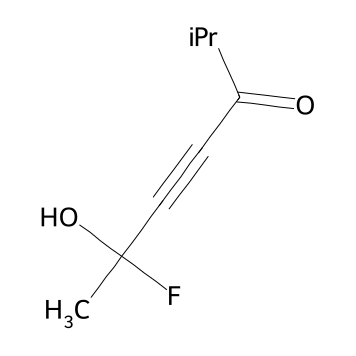 CC(C)C(=O)C#CC(C)(O)F